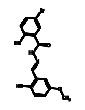 COc1ccc(O)c(C=NNC(=O)c2cc(Br)ccc2O)c1